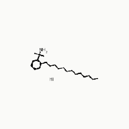 CCCCCCCCCCCCCc1ccccc1C(C)(C)N.I